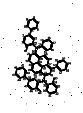 Cc1ccc(-c2ccccc2)cc1N(c1ccccc1)c1ccc2ccc3c(N(c4ccccc4C)c4cc(-c5ccccc5)ccc4C)cc(-c4ccccc4)c4ccc1c2c43